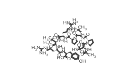 CC(=O)N[C@H](C(=O)N1CCC[C@H]1C(=O)N[C@@H](CC(C)C)C(=O)N1CCC[C@H]1C(=O)N[C@@H](CCCNC(=N)N)C(=O)N[C@H](C(=O)N[C@@H](CCCNC(N)N)C(=O)N[C@@H](Cc1ccc(O)cc1)C(=O)O)C(C)(C)C)C(C)(C)S